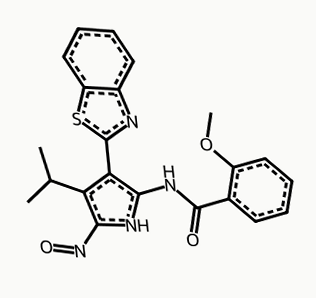 COc1ccccc1C(=O)Nc1[nH]c(N=O)c(C(C)C)c1-c1nc2ccccc2s1